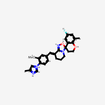 COc1cc(/C=C2\CCCN3C2=NOC32CCOc3c(C)cc(F)cc32)ccc1-n1cnc(C)c1